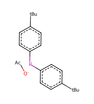 CC(=O)[O-].CC(C)(C)c1ccc([I+]c2ccc(C(C)(C)C)cc2)cc1